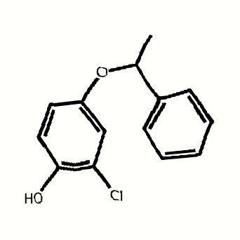 CC(Oc1ccc(O)c(Cl)c1)c1ccccc1